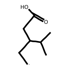 [CH2]CC(CC(=O)O)C(C)C